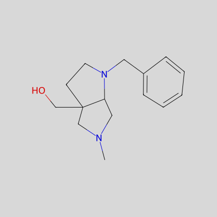 CN1CC2N(Cc3ccccc3)CCC2(CO)C1